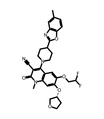 Cc1ccc2oc(C3CCN(c4c(C#N)c(=O)n(C)c5cc(O[C@@H]6CCOC6)c(OCC(F)F)cc45)CC3)nc2c1